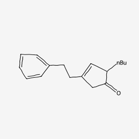 CCCCC1C=C(CCc2ccccc2)CC1=O